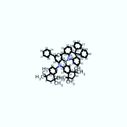 CC1(C)CCC(C)(C)c2cc(N3c4cc5c(cc4B4c6c(cc(-c7ccccc7)cc63)-c3cccc6c3N4c3ccccc3C6(c3ccccc3)c3ccccc3)C(C)(C)CCC5(C)C)ccc21